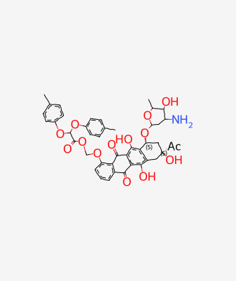 CC(=O)[C@]1(O)Cc2c(O)c3c(c(O)c2[C@@H](OC2CC(N)C(O)C(C)O2)C1)C(=O)c1c(OCOC(=O)C(Oc2ccc(C)cc2)Oc2ccc(C)cc2)cccc1C3=O